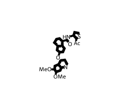 COc1cc2nccc(Oc3ccc4c(C(=O)Nc5ccsc5C(C)=O)cccc4c3)c2cc1OC